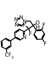 OC(Cn1cnnn1)(c1ccc(F)cc1F)C(F)(F)c1ccc(-c2cccc(C(F)(F)F)c2)cn1